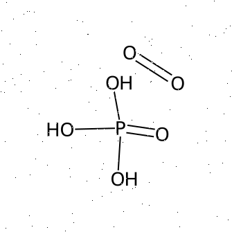 O=O.O=P(O)(O)O